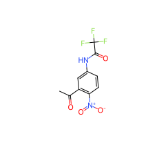 CC(=O)c1cc(NC(=O)C(F)(F)F)ccc1[N+](=O)[O-]